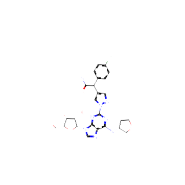 NC(=O)C(c1ccc(Cl)cc1)c1cnn(-c2nc(N[C@@H]3CCOC3)c3ncn([C@@H]4O[C@H](CO)[C@@H](O)[C@@H]4O)c3n2)c1